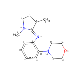 CC1CCN(C)C1=Nc1ccccc1N1CCOCC1